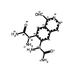 NC(=O)N(N)c1cc2cnnc(C=O)c2cc1N(N)C(N)=O